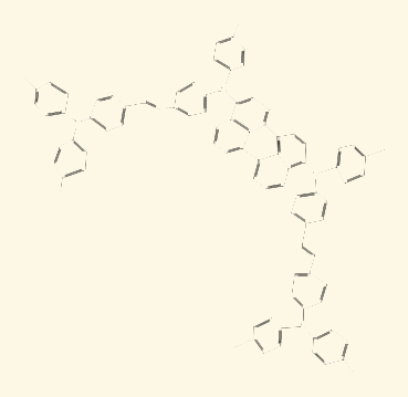 Cc1ccc(N(c2ccc(C)cc2)c2ccc(/C=C/c3ccc(N(c4ccc(C)cc4)c4ccc5c6ccc(N(c7ccc(C)cc7)c7ccc(/C=C/c8ccc(N(c9ccc(C)cc9)c9ccc(C)cc9)cc8)cc7)c7cccc(c8cccc4c85)c76)cc3)cc2)cc1